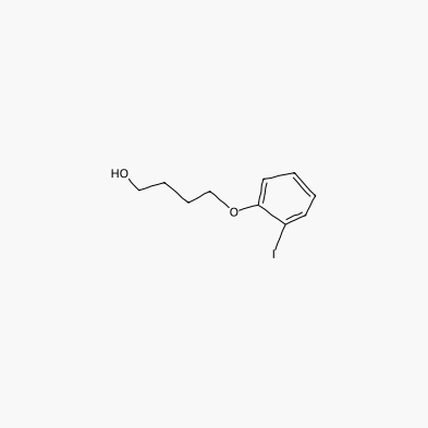 OCCCCOc1ccccc1I